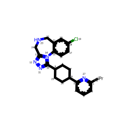 CC(C)c1cccc(C2CCC(c3nnc4n3-c3ccc(Cl)cc3CNC4)CC2)n1